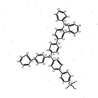 C[Si](C)(C)c1ccc(-c2ccc(N(c3ccc(-c4ccccc4)cc3)c3ccc(-c4ccc5c(c4)c4ccccc4n5-c4ccccc4)cc3)cc2)cc1